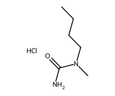 CCCCN(C)C(N)=O.Cl